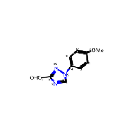 COc1ccc(-n2cnc(C=O)n2)cc1